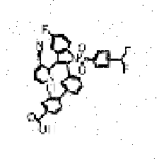 N#Cc1cccnc1-c1c(-c2cccc(-c3ccc(C(=O)O)cc3Cl)c2)n(S(=O)(=O)c2ccc(C(F)F)cc2)c2ccc(F)cc12